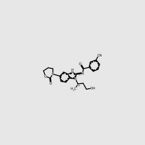 C[C@H](CCO)n1/c(=N/C(=O)c2cccc(C#N)c2)[nH]c2cc(N3CCCOC3=O)ccc21